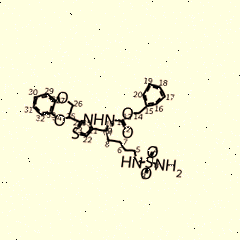 NS(=O)(=O)NCCCC[C@H](NC(=O)OCc1ccccc1)c1csc(C2COc3ccccc3O2)n1